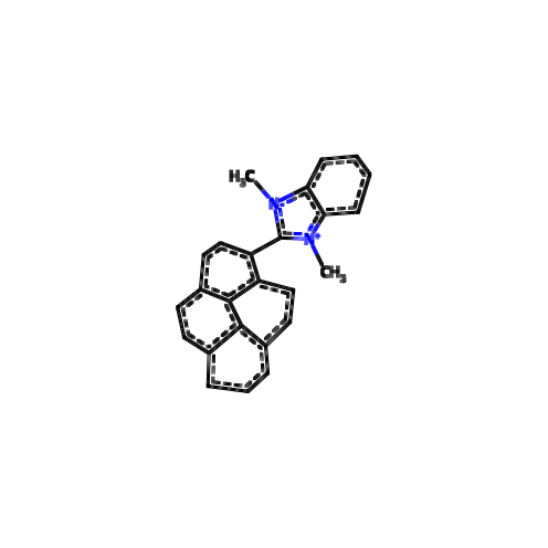 Cn1c(-c2ccc3ccc4cccc5ccc2c3c45)[n+](C)c2ccccc21